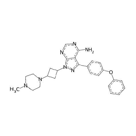 CN1CCN(C2CC(n3nc(-c4ccc(Oc5ccccc5)cc4)c4c(N)ncnc43)C2)CC1